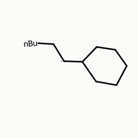 CCCCC[CH]C1CCCCC1